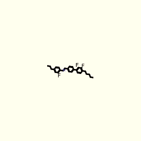 CCCCCc1ccc(-c2ccc(/C=C/c3ccc(CCC)cc3F)cc2)c(F)c1F